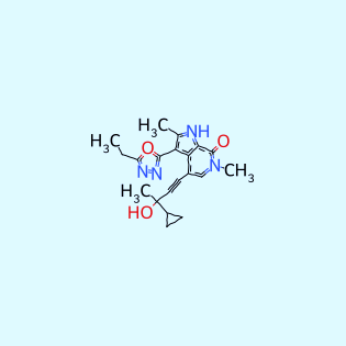 CCc1nnc(-c2c(C)[nH]c3c(=O)n(C)cc(C#CC(C)(O)C4CC4)c23)o1